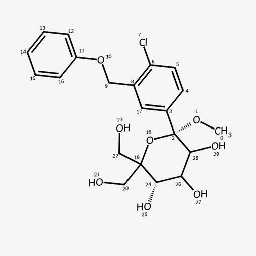 CO[C@@]1(c2ccc(Cl)c(COc3ccccc3)c2)OC(CO)(CO)[C@@H](O)C(O)C1O